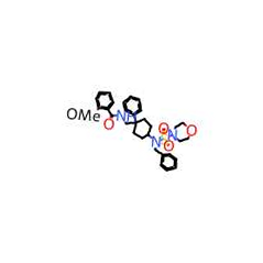 COc1ccccc1C(=O)NCC1(c2ccccc2)CCC(N(Cc2ccccc2)S(=O)(=O)N2CCOCC2)CC1